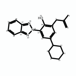 C=C(C)Cc1cc(C2CCCCC2)cc(-n2nc3ccccc3n2)c1O